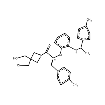 Cc1ccc(C[C@H](Nc2ccccc2NC(C)c2ccc(C)cc2)C(=O)N2CC(CO)(CCl)C2)cc1